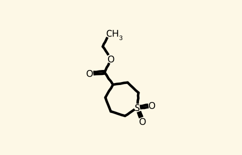 CCOC(=O)C1CCCS(=O)(=O)CC1